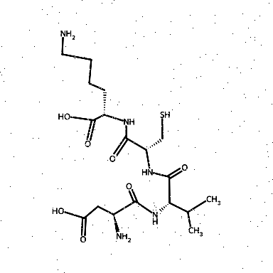 CC(C)[C@H](NC(=O)[C@@H](N)CC(=O)O)C(=O)N[C@@H](CS)C(=O)N[C@@H](CCCCN)C(=O)O